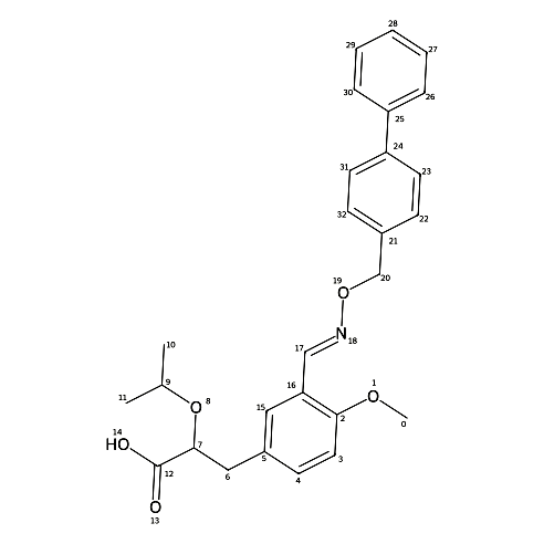 COc1ccc(CC(OC(C)C)C(=O)O)cc1/C=N/OCc1ccc(-c2ccccc2)cc1